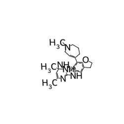 CC1=CC(C)(N)NC(Nc2cc3c(c(C4=CCN(C)CCC4)c2)OCC3)=N1